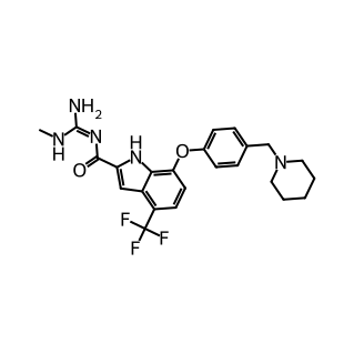 CNC(N)=NC(=O)c1cc2c(C(F)(F)F)ccc(Oc3ccc(CN4CCCCC4)cc3)c2[nH]1